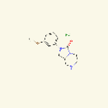 CSc1cccc(N2CC3CNCCN3C2=O)c1.Cl